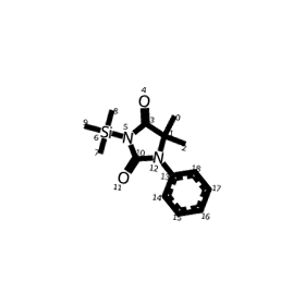 CC1(C)C(=O)N([Si](C)(C)C)C(=O)N1c1ccccc1